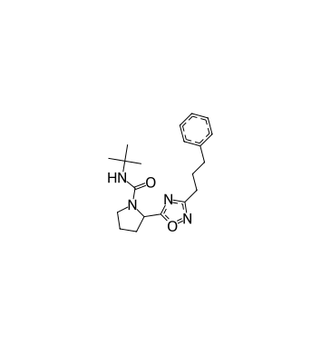 CC(C)(C)NC(=O)N1CCCC1c1nc(CCCc2ccccc2)no1